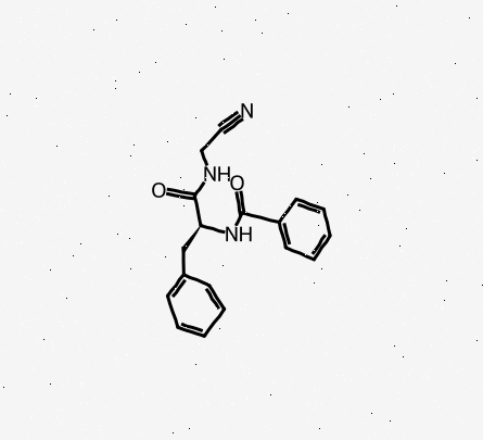 N#CCNC(=O)[C@H](Cc1ccccc1)NC(=O)c1ccccc1